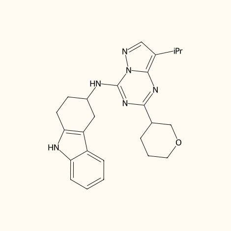 CC(C)c1cnn2c(NC3CCc4[nH]c5ccccc5c4C3)nc(C3CCCOC3)nc12